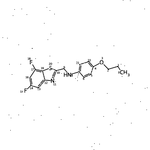 CCCOc1ccc(NCc2nc3cc(F)cc(F)c3s2)cc1